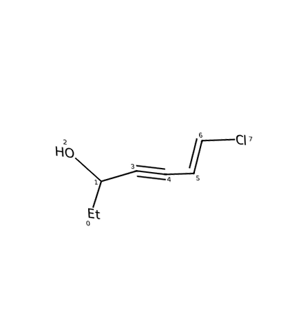 CCC(O)C#CC=CCl